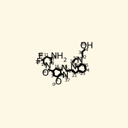 COc1cc(C(=O)N2C[C@H](N)CC(F)(F)C2)cc2nc(-c3cc4cccc5c4n3CCN5CCCO)n(C)c12